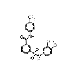 O=C(Nc1ccc(C(F)(F)F)cc1)c1cccc(S(=O)(=O)Nc2ccc3c(c2)OCO3)c1